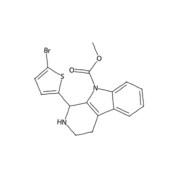 COC(=O)n1c2c(c3ccccc31)CCNC2c1ccc(Br)s1